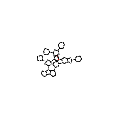 c1ccc(-c2nc(-c3ccccc3)nc(-n3c4ccc(-c5cccc6c7ccccc7n(-c7nc(-c8ccccc8)nc(-c8ccccc8)n7)c56)cc4c4cc5oc(-c6ccccc6)nc5cc43)n2)cc1